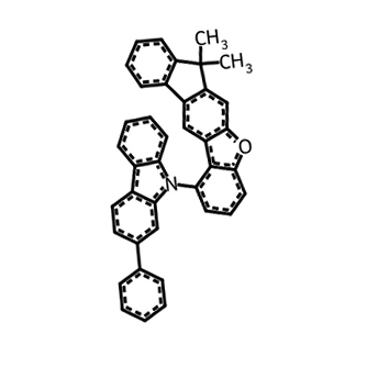 CC1(C)c2ccccc2-c2cc3c(cc21)oc1cccc(-n2c4ccccc4c4ccc(-c5ccccc5)cc42)c13